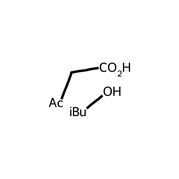 CC(=O)CC(=O)O.CCC(C)O